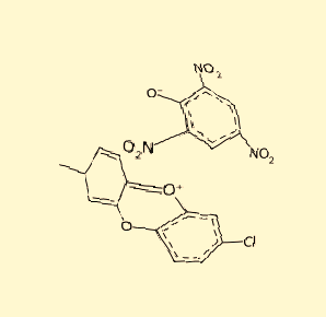 CC1C=CC2=[O+]c3cc(Cl)ccc3OC2=C1.O=[N+]([O-])c1cc([N+](=O)[O-])c([O-])c([N+](=O)[O-])c1